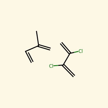 C=C(Cl)C(=C)Cl.C=CC(=C)C